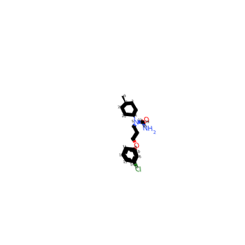 C[C@H]1CC[C@H](N(CCCOc2cccc(Cl)c2)C(N)=O)CC1